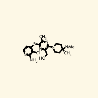 CNC1(C)CCN(c2nc(C)c(Sc3ccnc(N)c3Cl)nc2CO)CC1